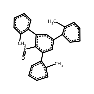 Cc1ccccc1-c1cc(-c2ccccc2C)c(P=O)c(-c2ccccc2C)c1